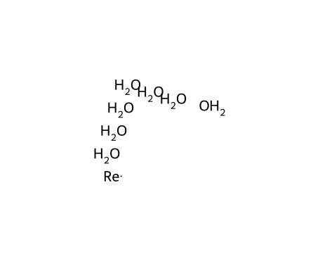 O.O.O.O.O.O.O.[Re]